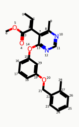 CC=C(C(=O)OC)c1c(C)ncnc1Oc1cccc(OCc2ccccc2C)c1